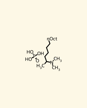 CCCCCCCCCCCCC(C)N(C)C.O=P(O)(O)O